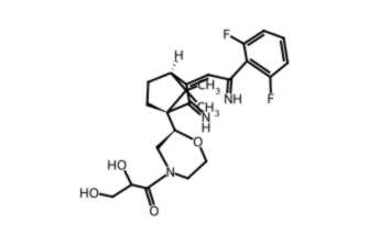 CC1(C)[C@H]2CC[C@]1([C@@H]1CN(C(=O)C(O)CO)CCO1)C(=N)/C2=C\C(=N)c1c(F)cccc1F